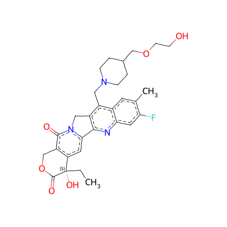 CC[C@@]1(O)C(=O)OCc2c1cc1n(c2=O)Cc2c-1nc1cc(F)c(C)cc1c2CN1CCC(COCCO)CC1